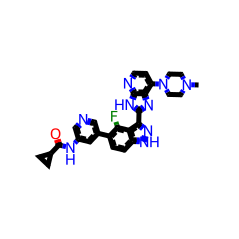 CN1CCN(c2ccnc3[nH]c(-c4n[nH]c5ccc(-c6cncc(NC(=O)C7CC7)c6)c(F)c45)nc23)CC1